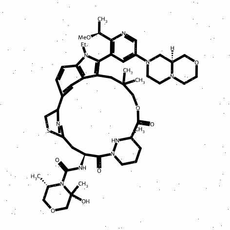 CCn1c(-c2cc(N3CCN4CCOC[C@@H]4C3)cnc2[C@H](C)OC)c2c3cc(ccc31)C1CSC(=N1)C[C@H](NC(=O)N1[C@@H](C)COCC1(C)O)C(=O)N1CCC[C@@](C)(N1)C(=O)OCC(C)(C)C2